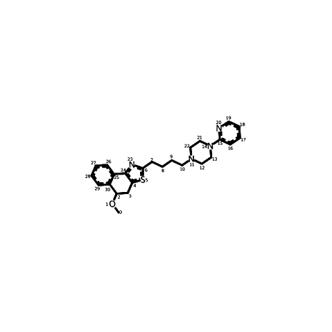 COC1Cc2sc(CCCCN3CCN(c4ccccn4)CC3)nc2-c2ccccc21